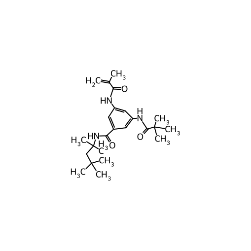 C=C(C)C(=O)Nc1cc(NC(=O)C(C)(C)C)cc(C(=O)NC(C)(C)CC(C)(C)C)c1